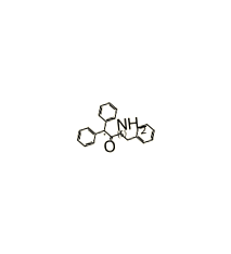 N[C@@H](Cc1ccccc1)C(=O)[C](c1ccccc1)c1ccccc1